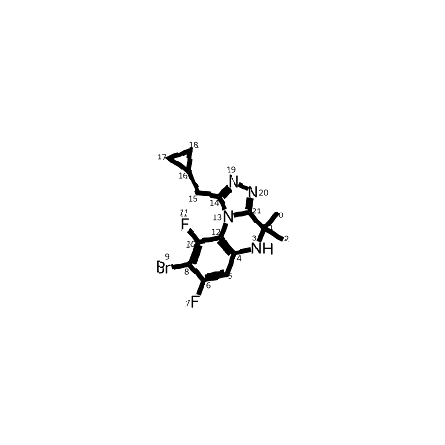 CC1(C)Nc2cc(F)c(Br)c(F)c2-n2c(CC3CC3)nnc21